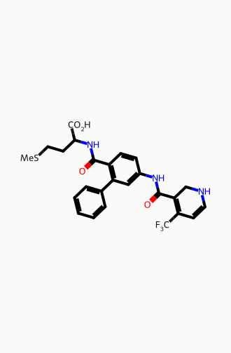 CSCCC(NC(=O)c1ccc(NC(=O)C2=C(C(F)(F)F)C=CNC2)cc1-c1ccccc1)C(=O)O